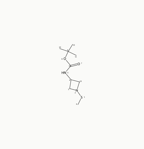 CSN1CC(NC(=O)OC(C)(C)C)C1